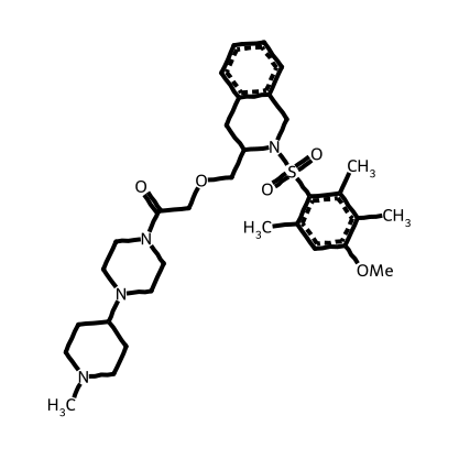 COc1cc(C)c(S(=O)(=O)N2Cc3ccccc3CC2COCC(=O)N2CCN(C3CCN(C)CC3)CC2)c(C)c1C